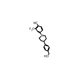 N#Cc1ccc(N2CCC(c3ccc(CO)cc3)CC2)cc1C(F)(F)F